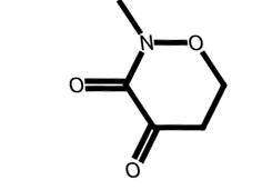 CN1OCCC(=O)C1=O